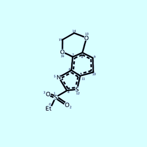 CCS(=O)(=O)c1nc2c3c(ccc2s1)OCCO3